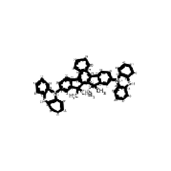 CC1(C)c2cc(N3C4=C(CCC=C4)Sc4ccccc43)ccc2-c2c1c1c(c3ccccc23)-c2ccc(N3C4=C(CCC=C4)Sc4ccccc43)cc2C1(C)C